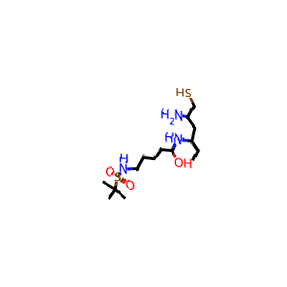 CCC(CC(N)CS)NC(O)CCCCNS(=O)(=O)C(C)(C)C